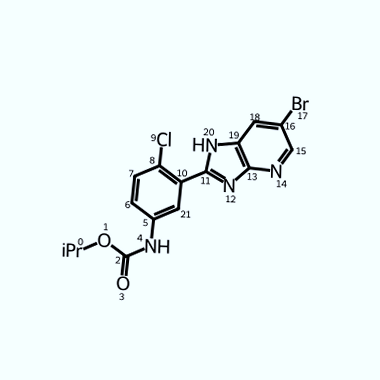 CC(C)OC(=O)Nc1ccc(Cl)c(-c2nc3ncc(Br)cc3[nH]2)c1